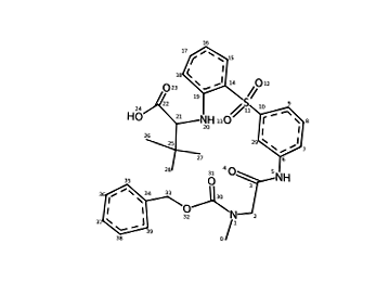 CN(CC(=O)Nc1cccc(S(=O)(=O)c2ccccc2NC(C(=O)O)C(C)(C)C)c1)C(=O)OCc1ccccc1